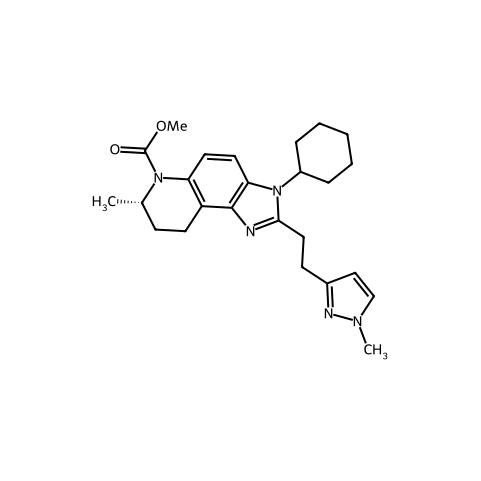 COC(=O)N1c2ccc3c(nc(CCc4ccn(C)n4)n3C3CCCCC3)c2CC[C@@H]1C